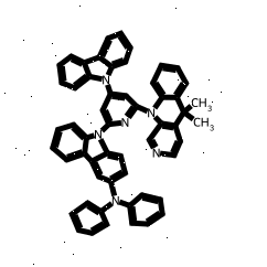 CC1(C)c2ccccc2N(c2cc(-n3c4ccccc4c4ccccc43)cc(-n3c4ccccc4c4cc(N(c5ccccc5)c5ccccc5)ccc43)n2)c2cnccc21